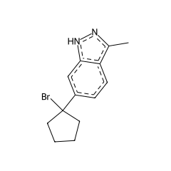 Cc1n[nH]c2cc(C3(Br)CCCC3)ccc12